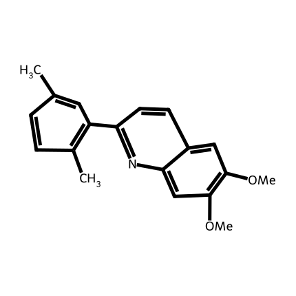 COc1cc2ccc(-c3cc(C)ccc3C)nc2cc1OC